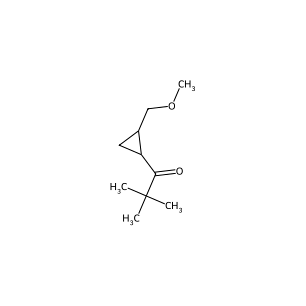 COCC1CC1C(=O)C(C)(C)C